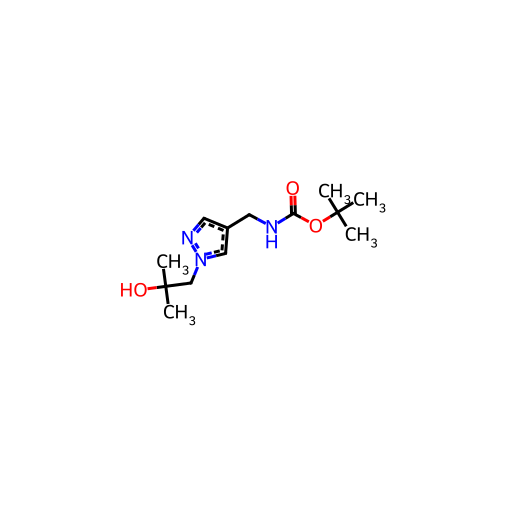 CC(C)(O)Cn1cc(CNC(=O)OC(C)(C)C)cn1